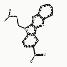 CN(C)CCn1c2ccc([N+](=O)[O-])cc2c2nc3ccccc3nc21